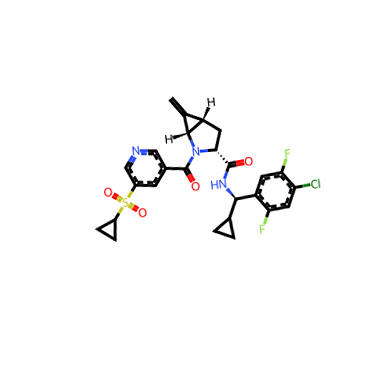 C=C1[C@@H]2[C@H]1C[C@H](C(=O)N[C@@H](c1cc(F)c(Cl)cc1F)C1CC1)N2C(=O)c1cncc(S(=O)(=O)C2CC2)c1